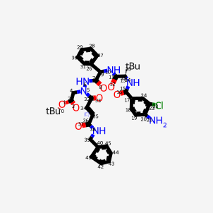 CC(C)(C)OC(=O)CN(NC(=O)C(NC(=O)[C@@H](NC(=O)c1ccc(N)c(Cl)c1)C(C)(C)C)c1ccccc1)C(=O)/C=C/C(=O)NCc1ccccc1